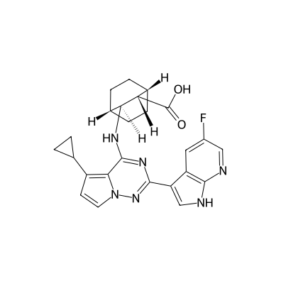 O=C(O)[C@H]1[C@H]2CC[C@H](CC2)[C@@H]1Nc1nc(-c2c[nH]c3ncc(F)cc23)nn2ccc(C3CC3)c12